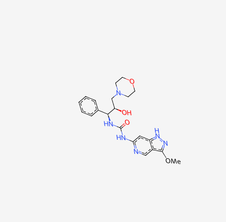 COc1n[nH]c2cc(NC(=O)N[C@@H](c3ccccc3)[C@H](O)CN3CCOCC3)ncc12